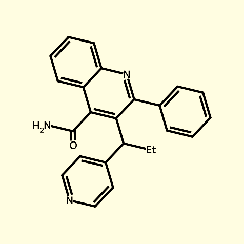 CCC(c1ccncc1)c1c(-c2ccccc2)nc2ccccc2c1C(N)=O